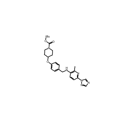 Cc1nc(-n2cncn2)ccc1NCc1ccc(OC2CCN(C(=O)OC(C)(C)C)CC2)cc1